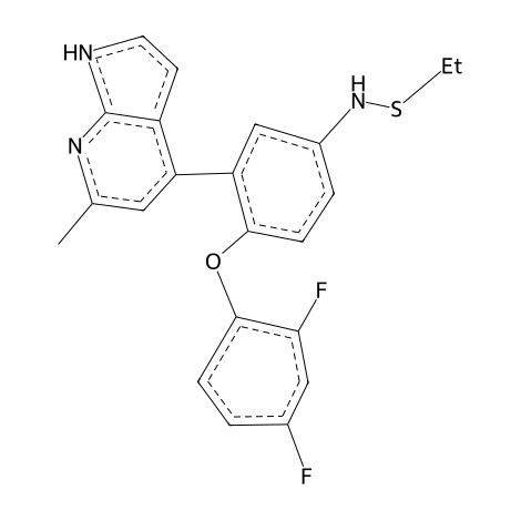 CCSNc1ccc(Oc2ccc(F)cc2F)c(-c2cc(C)nc3[nH]ccc23)c1